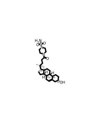 C[C@H](CCC(=O)N1CCN(S(N)(=O)=O)CC1)[C@H]1CC[C@H]2[C@@H]3CC=C4C[C@@H](O)CC[C@]4(C)[C@H]3CC[C@]12C